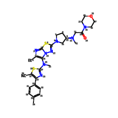 CCc1nc2sc(N3CC[C@@H](N(C)CC(=O)N4CCOCC4)C3)nn2c1N(C)c1nc(-c2ccc(C)cc2)c(C#N)s1